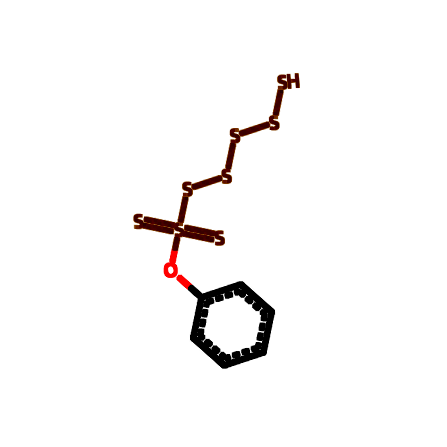 S=S(=S)(Oc1ccccc1)SSSSS